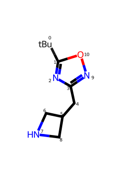 CC(C)(C)c1nc(CC2CNC2)no1